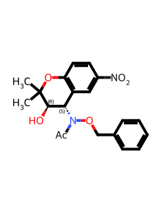 CC(=O)N(OCc1ccccc1)[C@H]1c2cc([N+](=O)[O-])ccc2OC(C)(C)[C@@H]1O